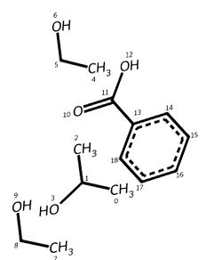 CC(C)O.CCO.CCO.O=C(O)c1ccccc1